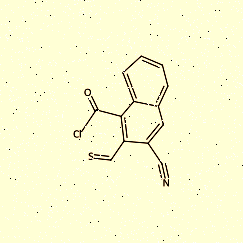 N#Cc1cc2ccccc2c(C(=O)Cl)c1C=S